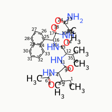 CC[C@H](C)C(NC(C)=O)C(=O)NC(C(=O)NC(C(=O)N[C@H](C)C(N)=O)c1cccc2ccccc12)C(C)C